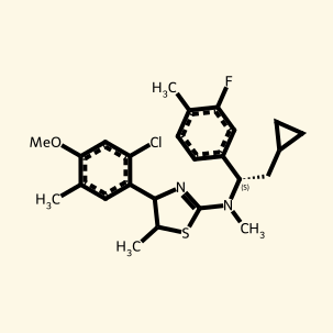 COc1cc(Cl)c(C2N=C(N(C)[C@@H](CC3CC3)c3ccc(C)c(F)c3)SC2C)cc1C